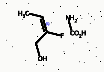 C/C=C(/F)CO.NC(=O)O